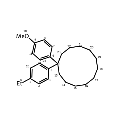 CCc1ccc(C2(c3ccc(OC)cc3)CCCCCCCCCCC2)cc1